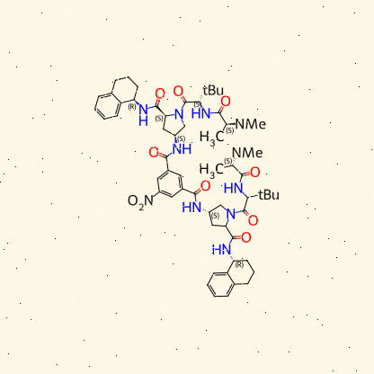 CN[C@@H](C)C(=O)NC(C(=O)N1C[C@@H](NC(=O)c2cc(C(=O)N[C@H]3C[C@@H](C(=O)N[C@@H]4CCCc5ccccc54)N(C(=O)[C@@H](NC(=O)[C@H](C)NC)C(C)(C)C)C3)cc([N+](=O)[O-])c2)CC1C(=O)N[C@@H]1CCCc2ccccc21)C(C)(C)C